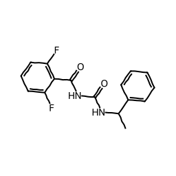 CC(NC(=O)NC(=O)c1c(F)cccc1F)c1ccccc1